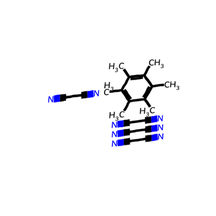 Cc1c(C)c(C)c(C)c(C)c1C.N#CC#N.N#CC#N.N#CC#N.N#CC#N